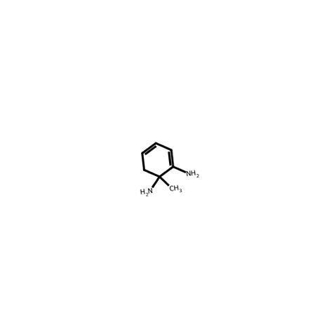 CC1(N)CC=CC=C1N